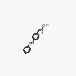 O=CN[CH]c1ccc(/N=N/c2ccccc2)cc1